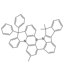 Cc1cc2c3c(c1)N1c4ccccc4C(c4ccccc4)(c4ccccc4)c4cccc(c41)B3n1c3c(c4cccc-2c41)-c1ccccc1C3(C)C